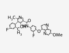 COc1cnc2c(Oc3ccc(NC(=O)c4cnc(C)c(-c5ccc(F)cc5C)c4O)cc3F)ccnc2c1